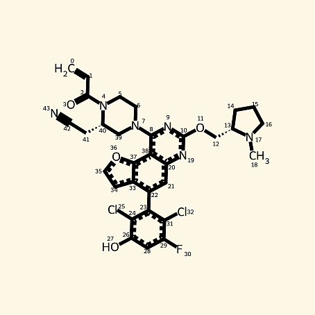 C=CC(=O)N1CCN(c2nc(OC[C@@H]3CCCN3C)nc3cc(-c4c(Cl)c(O)cc(F)c4Cl)c4ccoc4c23)C[C@@H]1CC#N